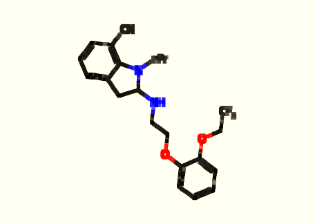 CCCN1c2c(C#N)cccc2CC1NCCOc1ccccc1OCC(F)(F)F